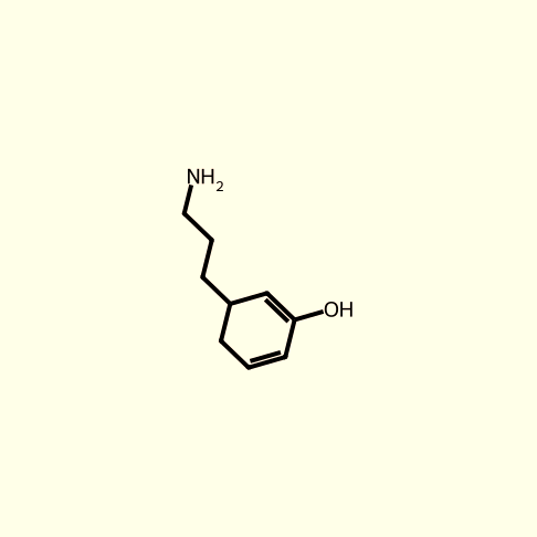 NCCCC1C=C(O)C=CC1